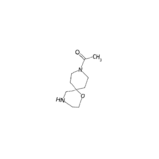 CC(=O)N1CCC2(CC1)CNCCO2